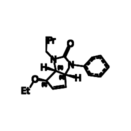 CCO[C@@H]1C=C[C@@H]2[C@H]1N(CC(C)C)C(=O)N2c1ccccc1